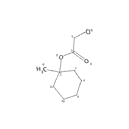 CC1(OC(=O)CCl)CCCCC1